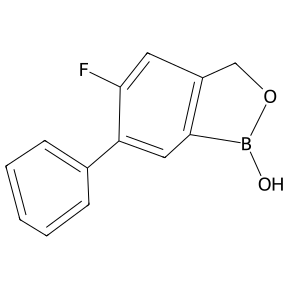 OB1OCc2cc(F)c(-c3ccccc3)cc21